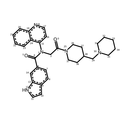 O=C(CN(C(=O)c1ccc2cc[nH]c2c1)c1ccnc2ccccc12)N1CCC(CN2CCCCC2)CC1